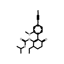 CC#Cc1ccc(C2=C(OC(=O)SC(C)C)C(CC)CCC2=O)c(OC)c1